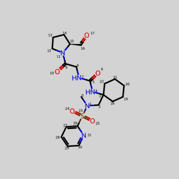 CN(CC1(NC(=O)NCC(=O)N2CCC[C@H]2C=O)CCCCC1)S(=O)(=O)c1ccccn1